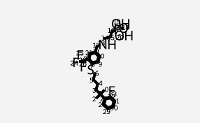 CC(C)(CCCCSc1ccc(CNCCCP(=O)(O)O)cc1C(F)(F)F)c1ccccc1F